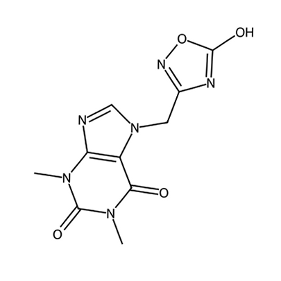 Cn1c(=O)c2c(ncn2Cc2noc(O)n2)n(C)c1=O